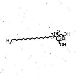 CCCCCCCCCCCCCCCCCCOC(=O)C(CC(O)CO)C(O)(CC(=O)O)C(=O)O